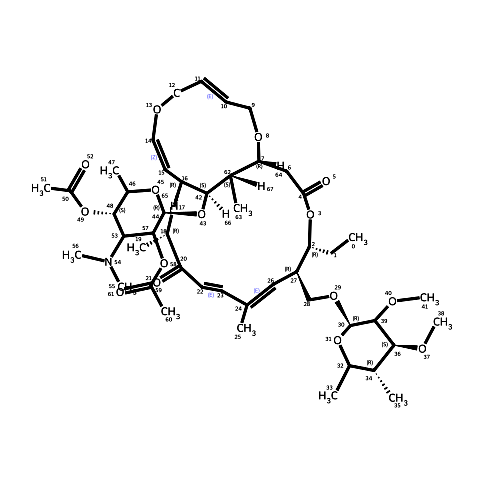 CC[C@H]1OC(=O)C[C@H]2OC/C=C/CO/C=C\[C@@H](C[C@@H](C)C(=O)/C=C/C(C)=C/[C@@H]1CO[C@@H]1OC(C)[C@@H](C)[C@H](OC)C1OC)[C@H](O[C@@H]1OC(C)[C@@H](OC(C)=O)C(N(C)C)C1OC(C)=O)[C@H]2C